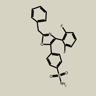 NS(=O)(=O)c1ccc(-c2oc(Cc3ccccc3)nc2-c2c(F)cccc2F)cc1